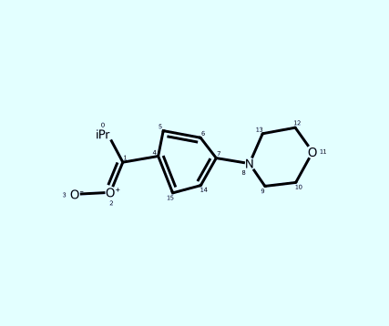 CC(C)C(=[O+][O-])c1ccc(N2CCOCC2)cc1